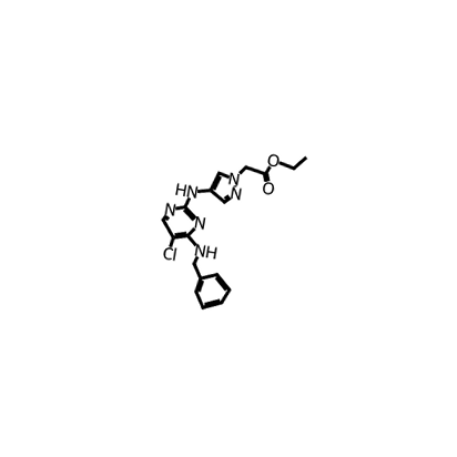 CCOC(=O)Cn1cc(Nc2ncc(Cl)c(NCc3ccccc3)n2)cn1